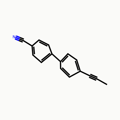 CC#Cc1ccc(-c2ccc(C#N)cc2)cc1